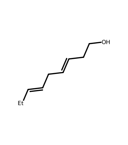 CCC=CCC=CCCO